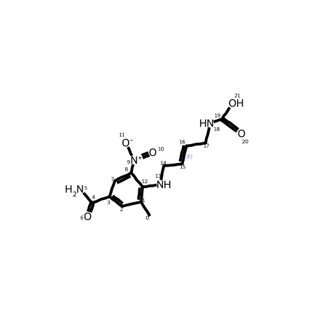 Cc1cc(C(N)=O)cc([N+](=O)[O-])c1NC/C=C/CNC(=O)O